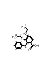 CCOc1ccc(C(O)=S)c(Cc2ccccc2)c1OCC